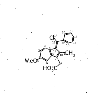 COc1ccc2c(c1)C(CC(=O)O)=C(C)/C2=C(/Cl)c1ccccc1